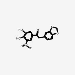 O=C(Cc1ccc2c(c1)OCO2)c1cc(O)c(O)c([N+](=O)[O-])c1